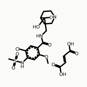 COc1cc(NS(C)(=O)=O)c(Cl)cc1C(=O)NCC1(O)CN2CCC1CC2.O=C(O)C=CC(=O)O